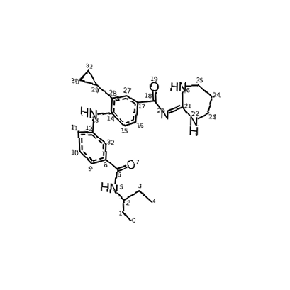 CCC(CC)NC(=O)c1cccc(Nc2ccc(C(=O)N=C3NCCCN3)cc2C2CC2)c1